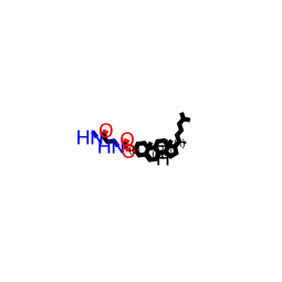 CNC(=O)CCNC(=O)O[C@H]1CCC2(C)C(=CC[C@H]3C2CCC2(C)C([C@H](C)CCCC(C)C)CC[C@@H]32)C1